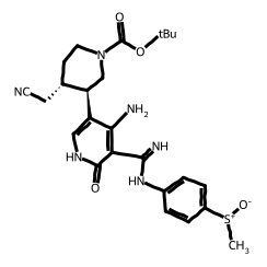 C[S+]([O-])c1ccc(NC(=N)c2c(N)c([C@@H]3CN(C(=O)OC(C)(C)C)CC[C@H]3CC#N)c[nH]c2=O)cc1